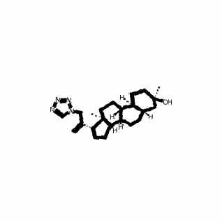 C=C(Cn1cnnn1)[C@H]1CC[C@H]2[C@@H]3CC[C@@H]4C[C@](C)(O)CC[C@@H]4[C@H]3CC[C@]12C